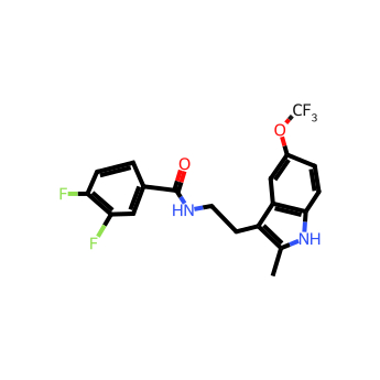 Cc1[nH]c2ccc(OC(F)(F)F)cc2c1CCNC(=O)c1ccc(F)c(F)c1